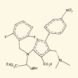 CCCCC(C(=O)OCC)N(Cc1c(F)cccc1F)c1sc(-c2ccc([N+](=O)[O-])cc2)c(CN(C)C)c1C(=O)O